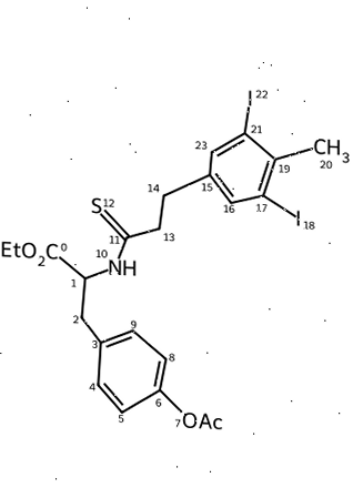 CCOC(=O)C(Cc1ccc(OC(C)=O)cc1)NC(=S)CCc1cc(I)c(C)c(I)c1